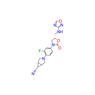 N#CC1C2CN(c3ccc(N4C[C@H](CNc5ncon5)OC4=O)cc3F)CC12